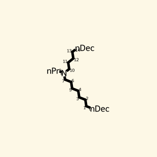 CCCCCCCCCCCCCCCCCN(CCC)CCCCCCCCCCCCCC